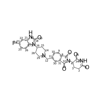 O=C1CCC(N2C(=O)c3ccc(CN4CCC(n5c(=O)[nH]c6cc(F)ccc65)CC4)cc3C2=O)C(=O)N1